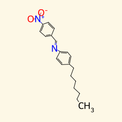 CCCCCCCc1ccc(N=Cc2ccc([N+](=O)[O-])cc2)cc1